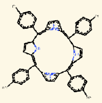 CCCc1ccc(/C2=C3\C=CC(N3)/C(c3ccc(CC)cc3)=c3/cc/c([nH]3)=C(\c3ccc(CC)cc3)C3C=C/C(=C(\c4ccc(CCC)cc4)c4ccc2[nH]4)N3)cc1